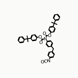 CC(C)(c1ccccc1)c1ccc(OC(=O)N(C(=O)Oc2ccc(C(C)(C)c3ccccc3)cc2)c2ccc(Cc3ccc(N=C=O)cc3)cc2)cc1